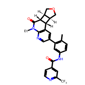 CCN1C(=O)[C@@H]2[C@H]3COC[C@H]3[C@@H]2c2cc(-c3cc(NC(=O)c4ccnc(C(F)(F)F)c4)ccc3C)cnc21